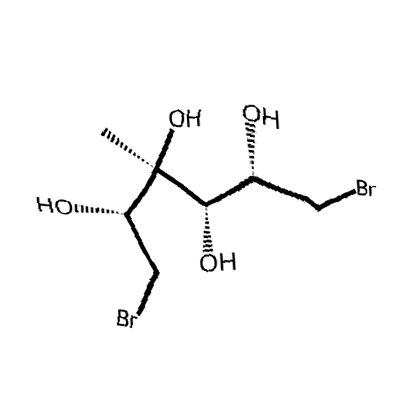 C[C@@](O)([C@@H](O)CBr)[C@@H](O)[C@H](O)CBr